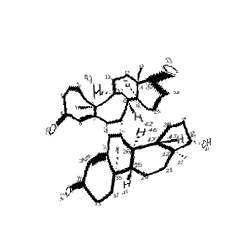 C[C@]12CCC(=O)C=C1CC[C@@H]1[C@@H]2CC[C@]2(C)C(=O)CC[C@@H]12.C[C@]12CC[C@H]3[C@@H](CCC4=CC(=O)CC[C@@]43C)[C@@H]1CC[C@@H]2O